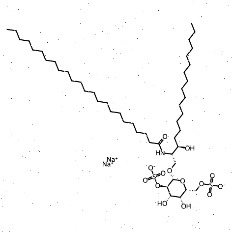 CCCCCCCCCCCCCCCCCCCCCCCC(=O)N[C@@H](CO[C@@H]1O[C@H](COS(=O)(=O)[O-])[C@H](O)[C@H](O)[C@H]1OS(=O)(=O)[O-])[C@H](O)CCCCCCCCCCCCCCC.[Na+].[Na+]